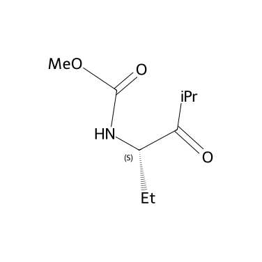 CC[C@H](NC(=O)OC)C(=O)C(C)C